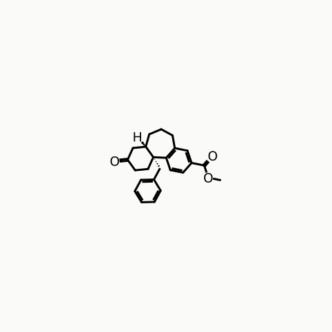 COC(=O)c1ccc2c(c1)CCC[C@H]1CC(=O)CC[C@]21Cc1ccccc1